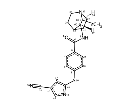 C[C@H]1[C@H](NC(=O)c2ccc(Sc3ncc(C#N)s3)cc2)C2CCN1CC2